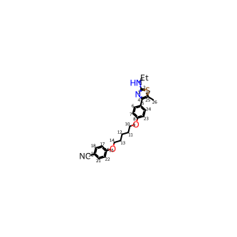 CCNc1nc(-c2ccc(OCCCCCOc3ccc(C#N)cc3)cc2)c(C)s1